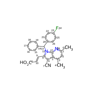 Cc1cc(C)c2c(C#N)c(C=CC(=O)O)n(C(c3ccccc3)c3ccc(F)cc3)c2n1